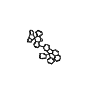 c1ccc(C2(c3ccccc3)c3cc(-c4cccc5c4Oc4ccccc4C54c5ccccc5-c5ccccc54)ccc3-c3ccc4ccccc4c32)cc1